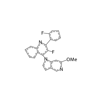 COc1cc2c(ccn2-c2c(F)c(-c3ccccc3F)nc3ccccc23)cn1